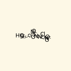 Cc1onc(-c2ccc(CC(C)(C)[Si](C)(C)O)cc2)c1C(=O)N1CCN(c2ccc([N+](=O)[O-])cc2Cl)CC1